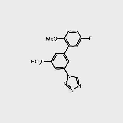 COc1ccc(F)cc1-c1cc(C(=O)O)cc(-n2cnnn2)c1